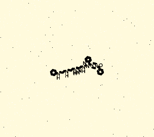 N=N/C(=C\NCCCNCCCNC1CCCCC1)CNc1nc(N2CCN(C(=O)C3CCCCC3)CC2)c2ccccc2n1